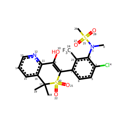 CN(c1c(Cl)ccc(C2=C(O)c3ncccc3C(C)(C)S2(=O)=O)c1C(F)(F)F)S(C)(=O)=O